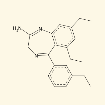 CCc1cccc(C2=NCC(N)=Nc3cc(CC)cc(CC)c32)c1